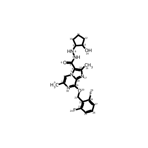 Cc1cn2c(C(=O)NNC3CCCC3O)c(C)nc2c(OCc2c(F)cccc2F)n1